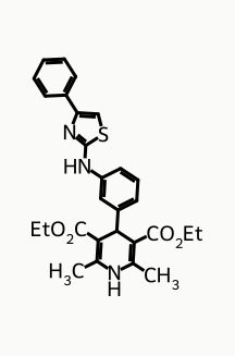 CCOC(=O)C1=C(C)NC(C)=C(C(=O)OCC)C1c1cccc(Nc2nc(-c3ccccc3)cs2)c1